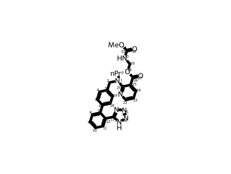 CCCN(Cc1ccc(-c2ccccc2-c2nnn[nH]2)cc1)c1ncccc1C(=O)OCNC(=O)OC